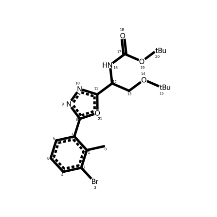 Cc1c(Br)cccc1-c1nnc(C(COC(C)(C)C)NC(=O)OC(C)(C)C)o1